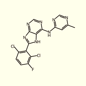 Cc1cc(Nc2ncnc3nc(-c4c(Cl)ccc(F)c4Cl)[nH]c23)ncn1